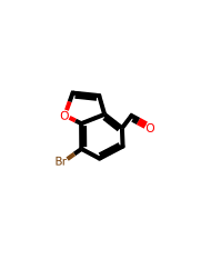 O=Cc1ccc(Br)c2occc12